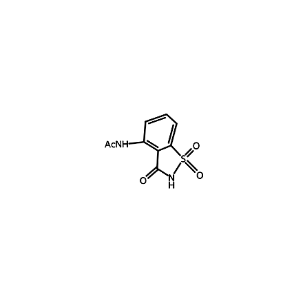 CC(=O)Nc1cccc2c1C(=O)NS2(=O)=O